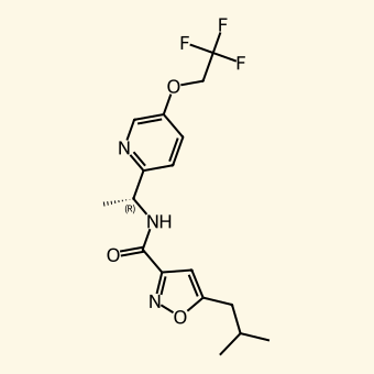 CC(C)Cc1cc(C(=O)N[C@H](C)c2ccc(OCC(F)(F)F)cn2)no1